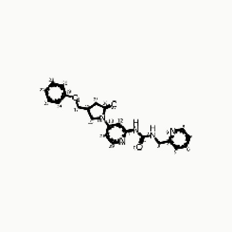 O=C(NCc1ccccn1)Nc1cc(N2CC(COc3ccccc3)CC2=O)ccn1